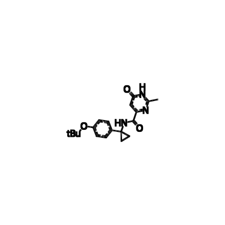 Cc1nc(C(=O)NC2(c3ccc(OC(C)(C)C)cc3)CC2)cc(=O)[nH]1